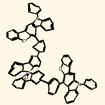 O=S12(c3ccccc3-c3cc(-c4cccc(-c5c6oc7ccccc7c6cc6c5c5ccccc5n6-c5ccccc5)c4)ccc31)c1ccccc1-c1cc(-c3cccc(-c4c5oc6ccccc6c5cc5c4c4ccccc4n5-c4ccccc4)c3)ccc12